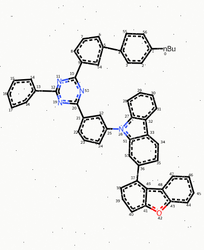 CCCCc1ccc(-c2cccc(-c3nc(-c4ccccc4)nc(-c4cccc(-n5c6ccccc6c6ccc(-c7cccc8oc9ccccc9c78)cc65)c4)n3)c2)cc1